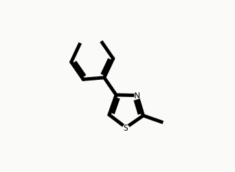 C/C=C\C(=C/C)c1csc(C)n1